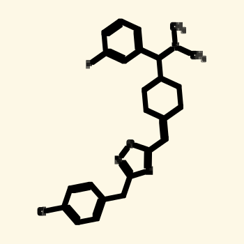 CN(C)C(c1cccc(F)c1)C1CCC(=Cc2nc(Cc3ccc(Cl)cc3)no2)CC1